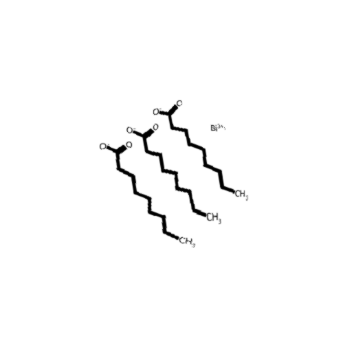 CCCCCCCCC(=O)[O-].CCCCCCCCC(=O)[O-].CCCCCCCCC(=O)[O-].[Bi+3]